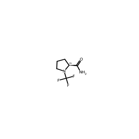 NC(=O)[C@@H]1CCCN1C(F)(F)F